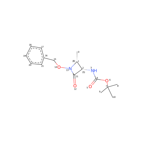 C[C@@H]1[C@H](NC(=O)OC(C)(C)C)C(=O)N1OCc1ccccc1